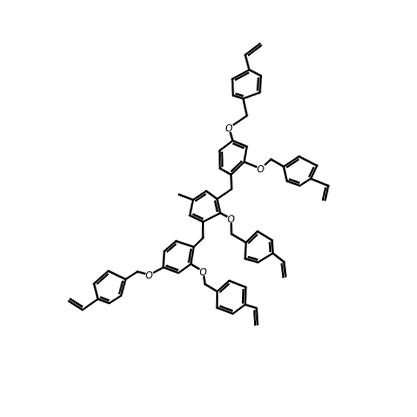 C=Cc1ccc(COc2ccc(Cc3cc(C)cc(Cc4ccc(OCc5ccc(C=C)cc5)cc4OCc4ccc(C=C)cc4)c3OCc3ccc(C=C)cc3)c(OCc3ccc(C=C)cc3)c2)cc1